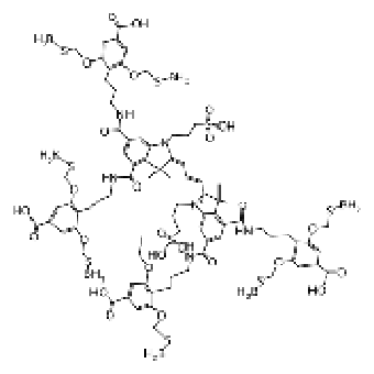 BSCOc1cc(C(=O)O)cc(OCI)c1CCCNC(=O)c1cc(C(=O)NCCCc2c(OCSB)cc(C(=O)O)cc2OCSB)c2c(c1)[N+](CCCS(=O)(=O)O)=C(/C=C/C=C1/N(CCCS(=O)(=O)O)c3cc(C(=O)NCCCc4c(OCSB)cc(C(=O)O)cc4OCSB)cc(C(=O)NCCCc4c(OCSB)cc(C(=O)O)cc4OCSB)c3C1(C)C)C2(C)C